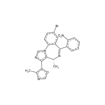 Cc1ncoc1-c1ncn2c1[C@@H](C)N=C(c1ccccc1[N+](=O)[O-])c1cc(Br)ccc1-2